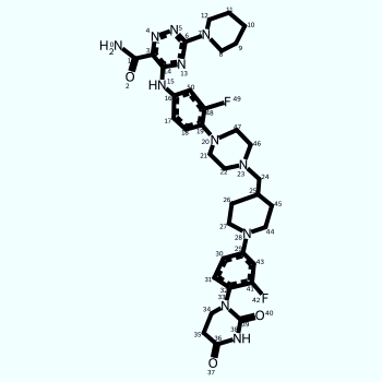 NC(=O)c1nnc(N2CCCCC2)nc1Nc1ccc(N2CCN(CC3CCN(c4ccc(N5CCC(=O)NC5=O)c(F)c4)CC3)CC2)c(F)c1